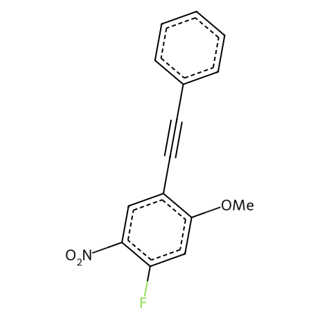 COc1cc(F)c([N+](=O)[O-])cc1C#Cc1ccccc1